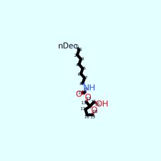 CCCCCCCCCCCCCCCCCCNC(=O)OCC1(CO)CCCO1